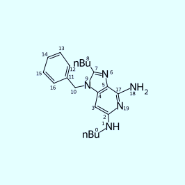 CCCCNc1cc2c(nc(CCCC)n2Cc2ccccc2)c(N)n1